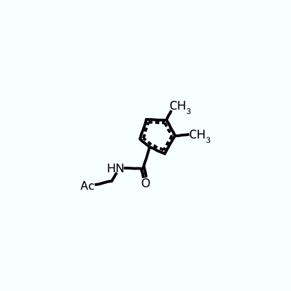 CC(=O)CNC(=O)c1ccc(C)c(C)c1